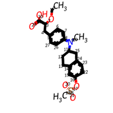 CCOC(Cc1ccc(N(C)C2CCc3cc(OS(C)(=O)=O)ccc3C2)cc1)C(=O)O